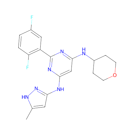 Cc1cc(Nc2cc(NC3CCOCC3)nc(-c3cc(F)ccc3F)n2)n[nH]1